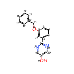 Oc1cnc(-c2cccc(OCc3ccccc3)c2)nc1